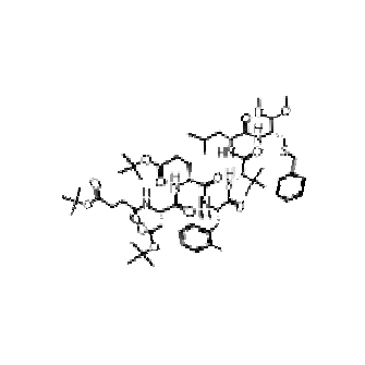 COC(OC)[C@H](CSCc1ccccc1)NC(=O)[C@H](CC(C)C)NC(=O)[C@@H](NC(=O)[C@H](Cc1ccccc1C)NC(=O)[C@H](CCC(=O)OC(C)(C)C)NC(=O)[C@H](CC(=O)OC(C)(C)C)NC(=O)CCC(=O)OC(C)(C)C)C(C)(C)C